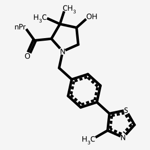 CCCC(=O)C1N(Cc2ccc(-c3scnc3C)cc2)CC(O)C1(C)C